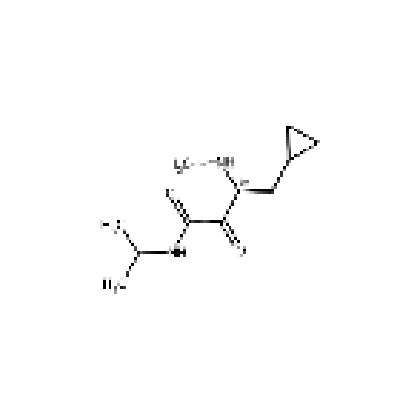 CN[C@@H](CC1CC1)C(=O)C(=O)NC(C)C